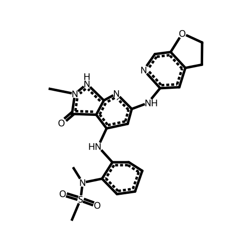 CN(c1ccccc1Nc1cc(Nc2cc3c(cn2)OCC3)nc2[nH]n(C)c(=O)c12)S(C)(=O)=O